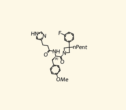 CCCCCC1(c2cccc(F)c2)CN(C(=O)[C@@H](Cc2ccc(OC)cc2)NC(=O)CCc2c[nH]cn2)C1